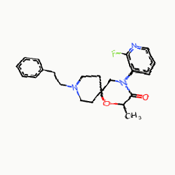 CC1OC2(CCN(CCc3ccccc3)CC2)CN(c2cccnc2F)C1=O